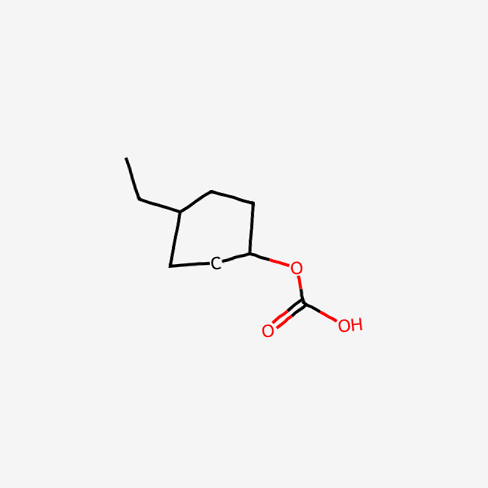 CCC1CCC(OC(=O)O)CC1